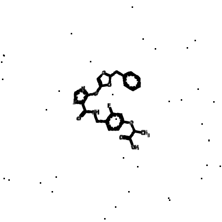 CC(Oc1ccc(CNC(=O)c2scnc2OC2=COC(Cc3ccccc3)O2)c(F)c1)C(=O)O